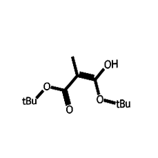 C/C(C(=O)OC(C)(C)C)=C(\O)OC(C)(C)C